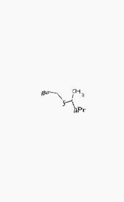 CCCC(C)SCC(C)CC